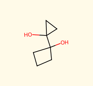 OC1(C2(O)CC2)CCC1